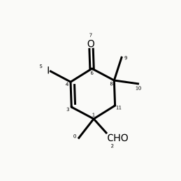 CC1(C=O)C=C(I)C(=O)C(C)(C)C1